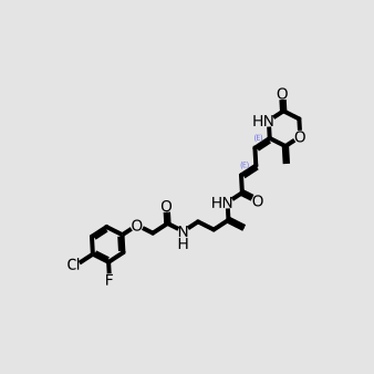 C=C(CCNC(=O)COc1ccc(Cl)c(F)c1)NC(=O)/C=C/C=C1/NC(=O)COC1=C